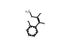 CC(C[SiH3])=C(C)c1ccccc1C